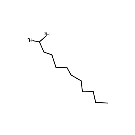 [2H]C([2H])CCCCCCCCCC